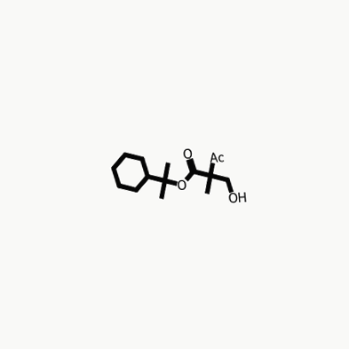 CC(=O)C(C)(CO)C(=O)OC(C)(C)C1CCCCC1